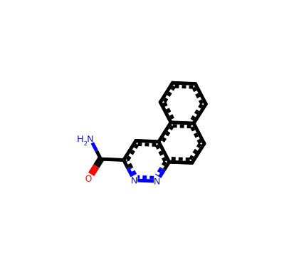 NC(=O)c1cc2c(ccc3ccccc32)nn1